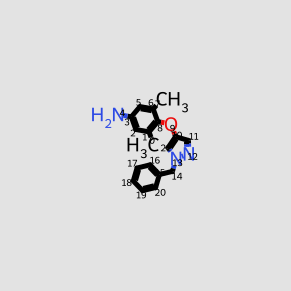 Cc1cc(N)cc(C)c1Oc1cnn(Cc2ccccc2)c1